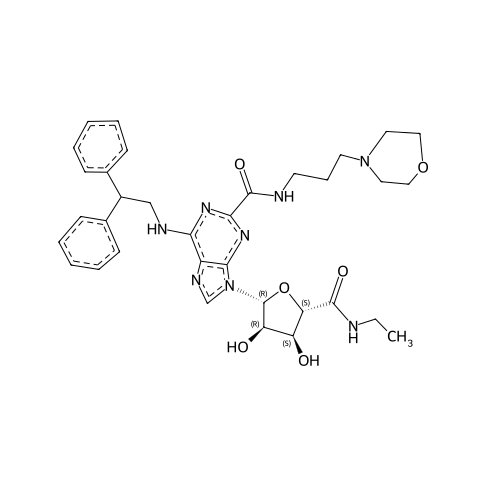 CCNC(=O)[C@H]1O[C@@H](n2cnc3c(NCC(c4ccccc4)c4ccccc4)nc(C(=O)NCCCN4CCOCC4)nc32)[C@H](O)[C@@H]1O